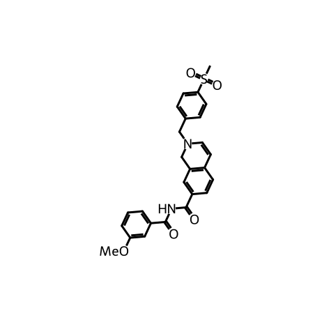 COc1cccc(C(=O)NC(=O)c2ccc3c(c2)CN(Cc2ccc(S(C)(=O)=O)cc2)C=C3)c1